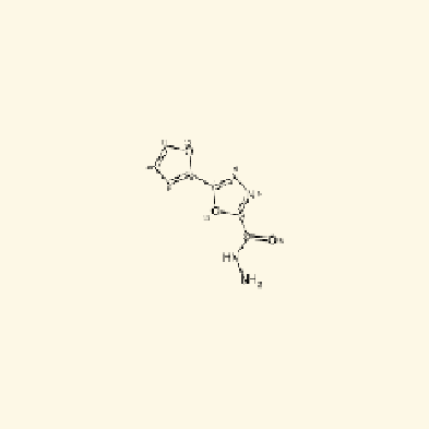 NNC(=O)c1nnc(-c2ccco2)o1